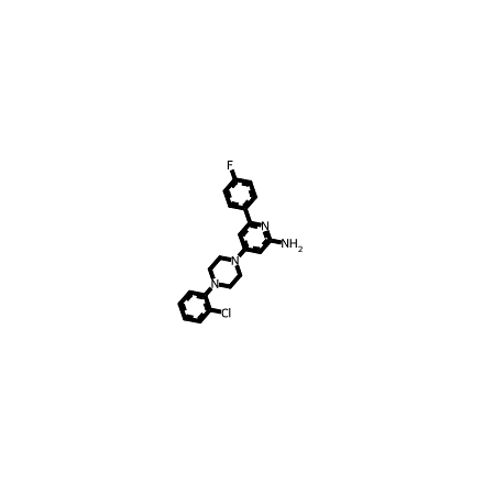 Nc1cc(N2CCN(c3ccccc3Cl)CC2)cc(-c2ccc(F)cc2)n1